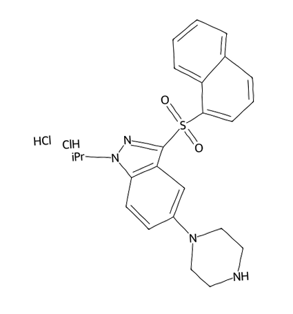 CC(C)n1nc(S(=O)(=O)c2cccc3ccccc23)c2cc(N3CCNCC3)ccc21.Cl.Cl